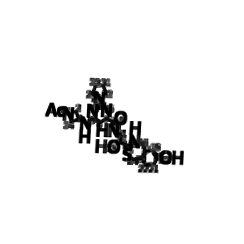 CC(=O)N1CC(Nc2cc(C(=O)NC[C@@H](O)[C@H]3NCc4cc(O)ccc4CS3)nc(N3CCCC3)n2)C1